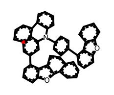 c1ccc(-c2ccccc2N(c2ccc(-c3cccc4oc5ccccc5c34)cc2)c2cccc(-c3cccc4oc5c6ccccc6ccc5c34)c2)cc1